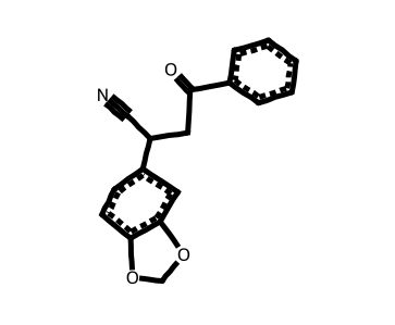 N#CC(CC(=O)c1ccccc1)c1ccc2c(c1)OCO2